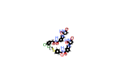 CCSc1ccc(C(=O)NC(=O)c2ccc3c(c2)CN(C2CCC(=O)NC2=O)C3)cc1.O=C(Cc1ccc(Cl)c(Cl)c1)NC(=O)c1ccc2c(c1)CN(C1CCC(=O)NC1=O)C2